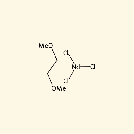 COCCOC.[Cl][Nd]([Cl])[Cl]